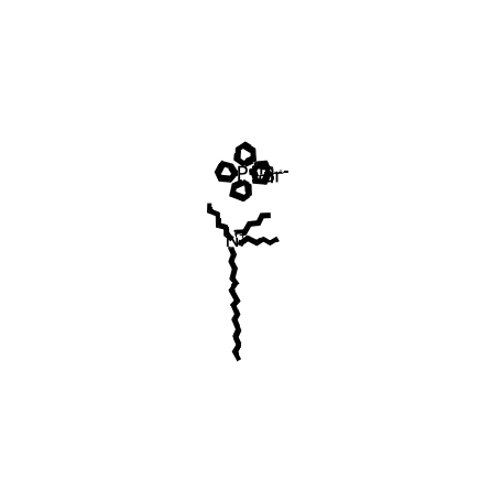 CCCCCCCCCCCCCCCC[N+](CCCCCC)(CCCCCC)CCCCCC.[Br-].[Br-].c1ccc([P+](c2ccccc2)(c2ccccc2)c2ccccc2)cc1